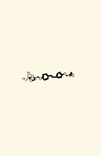 CC1(C)OC[C@H](COc2ccc(/C=C/c3ccc(OC[C@H]4CO4)cc3)cc2)O1